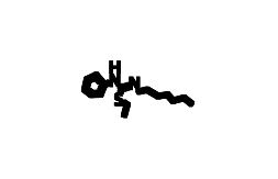 CCCCCCCN=C(Nc1ccccc1)SCC